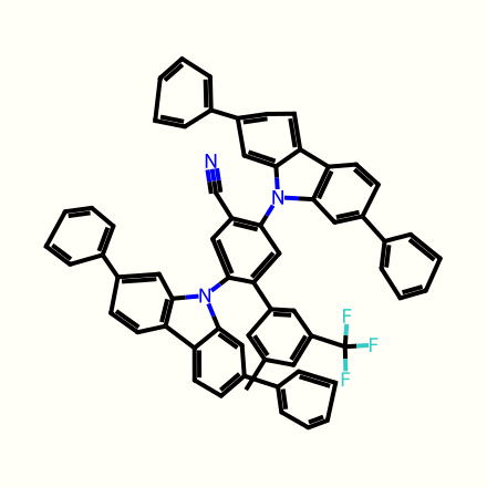 Cc1cc(-c2cc(-n3c4cc(-c5ccccc5)ccc4c4ccc(-c5ccccc5)cc43)c(C#N)cc2-n2c3cc(-c4ccccc4)ccc3c3ccc(-c4ccccc4)cc32)cc(C(F)(F)F)c1